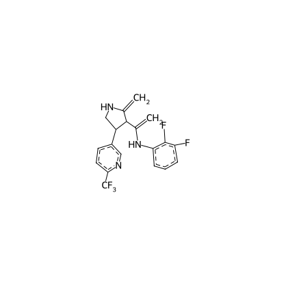 C=C1NCC(c2ccc(C(F)(F)F)nc2)C1C(=C)Nc1cccc(F)c1F